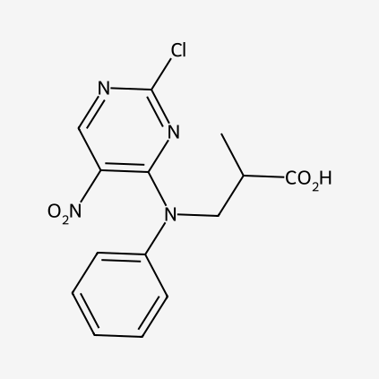 CC(CN(c1ccccc1)c1nc(Cl)ncc1[N+](=O)[O-])C(=O)O